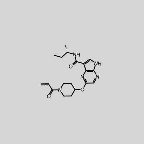 C=CC(=O)N1CCC(Oc2cnc3[nH]cc(C(=O)N[C@@H](C)CC)c3n2)CC1